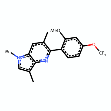 CCC(C)n1cc(C)c2nc(-c3ccc(OC(F)(F)F)cc3OC)c(C)cc21